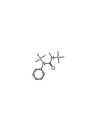 CN(C(=O)N(c1ccccc1)S(C)(C)C)S(C)(C)C